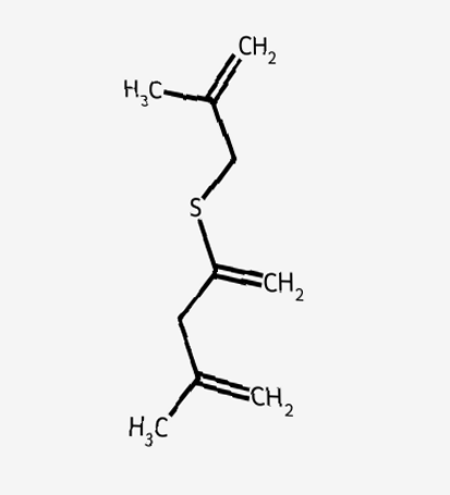 C=C(C)CSC(=C)CC(=C)C